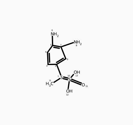 CS(c1ccc(N)c(N)c1)=S(=O)(O)O